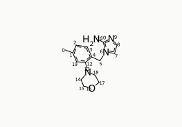 Cc1ccc(Cn2ccnc2N)c(N2CCOCC2)c1